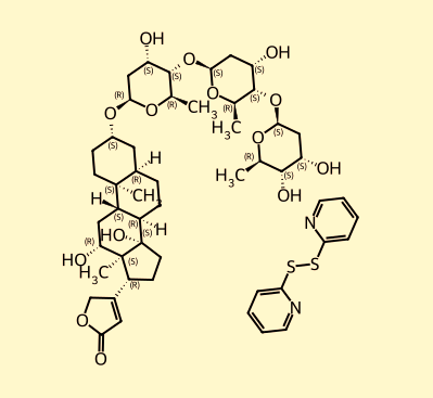 C[C@H]1O[C@@H](O[C@H]2[C@@H](O)C[C@H](O[C@H]3[C@@H](O)C[C@H](O[C@H]4CC[C@@]5(C)[C@H](CC[C@@H]6[C@@H]5C[C@@H](O)[C@]5(C)[C@@H](C7=CC(=O)OC7)CC[C@]65O)C4)O[C@@H]3C)O[C@@H]2C)C[C@H](O)[C@@H]1O.c1ccc(SSc2ccccn2)nc1